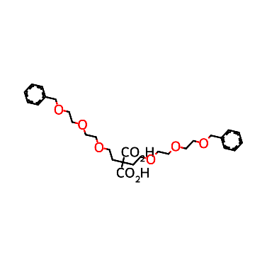 O=C(O)C(CCOCCOCCOCc1ccccc1)(CCOCCOCCOCc1ccccc1)C(=O)O